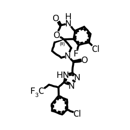 O=C1Nc2ccc(Cl)c(F)c2[C@@]2(CCCN(C(=O)c3nnc(C(CC(F)(F)F)c4cccc(Cl)c4)[nH]3)C2)O1